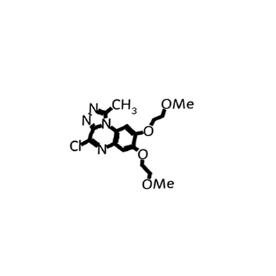 COCCOc1cc2nc(Cl)c3nnc(C)n3c2cc1OCCOC